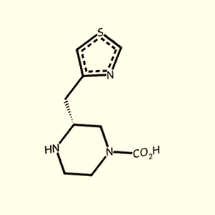 O=C(O)N1CCN[C@H](Cc2cscn2)C1